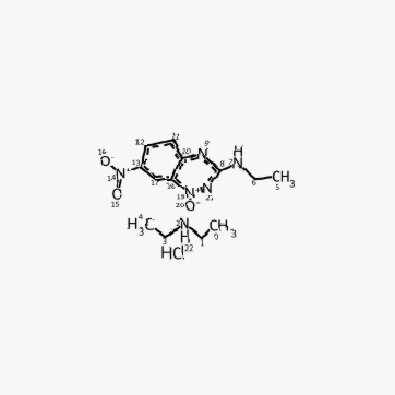 CCNCC.CCNc1nc2ccc([N+](=O)[O-])cc2[n+]([O-])n1.Cl